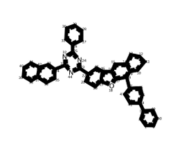 c1ccc(-c2ccc(-c3c4ccccc4cc4c3oc3ccc(-c5nc(-c6ccccc6)nc(-c6ccc7ccccc7c6)n5)cc34)cc2)cc1